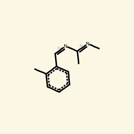 C/N=C(C)/N=C\c1ccccc1C